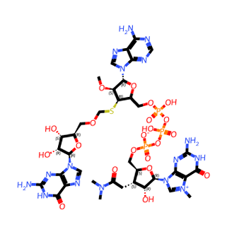 CO[C@@H]1[C@H](SCOC[C@H]2O[C@@H](n3cnc4c(=O)[nH]c(N)nc43)[C@H](O)[C@@H]2O)C(COP(=O)(O)OP(=O)(O)OP(=O)([O-])OC[C@H]2O[C@@H](n3c[n+](C)c4c(=O)[nH]c(N)nc43)[C@H](O)[C@@H]2CC(=O)N(C)C)O[C@H]1n1cnc2c(N)ncnc21